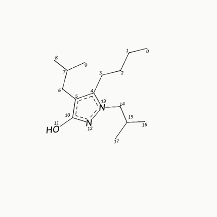 CCCCc1c(CC(C)C)c(O)nn1CC(C)C